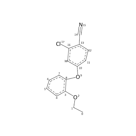 CCOc1ccccc1Oc1ccc(C#N)c(Cl)c1